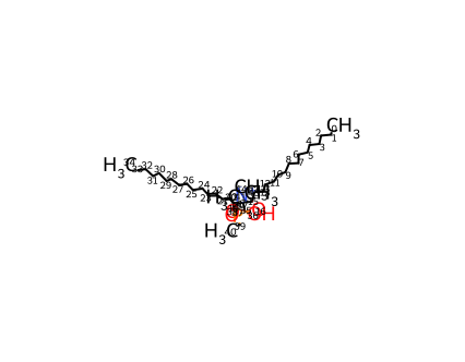 CCCCCCCCCCCCCCCC(=O)C(C(=O)CCCCCCCCCCCCCCC)(C(O)=[P+]([O-])CC)[N+](C)(C)C